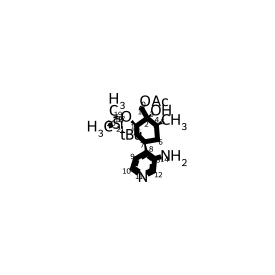 CC(=O)OC[C@@]1(O)[C@@H](C)C[C@@H](c2ccncc2N)C[C@H]1O[Si](C)(C)C(C)(C)C